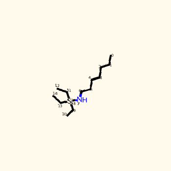 CCCCCCCN[Si](CC)(CC)CC